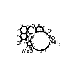 CO[C@H]1C/C=C\CCS(N)(=O)=NC(=O)c2ccc3c(c2)N(C[C@@H]2CC[C@H]21)C[C@@]1(CCCc2cc(Cl)ccc21)CO3